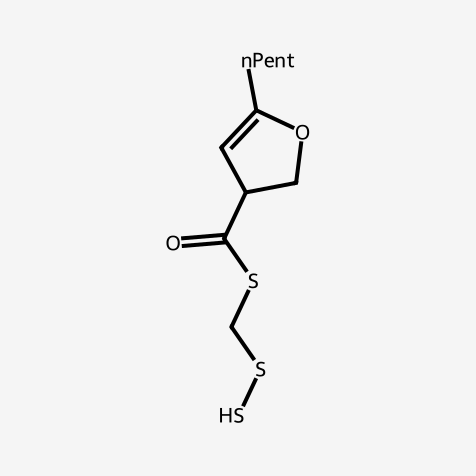 CCCCCC1=CC(C(=O)SCSS)CO1